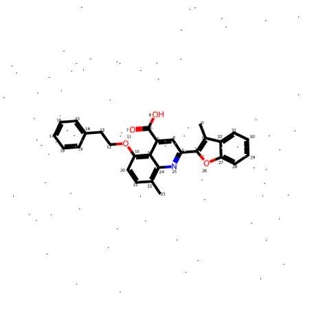 Cc1c(-c2cc(C(=O)O)c3c(OCCc4ccccc4)ccc(C)c3n2)oc2ccccc12